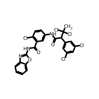 CC(Cl)(Cl)C(C(=O)Nc1ccc(Cl)c(C(=O)Nc2nc3ccccc3o2)c1)c1cc(Cl)cc(Cl)c1